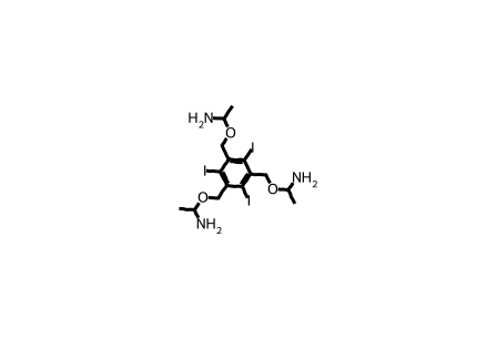 CC(N)OCc1c(I)c(COC(C)N)c(I)c(COC(C)N)c1I